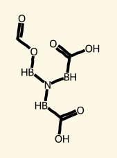 O=COBN(BC(=O)O)BC(=O)O